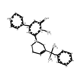 Cn1c(N2CCC=C(C(C)(C)c3ccccc3)C2)nc(-c2ccncc2)cc1=O